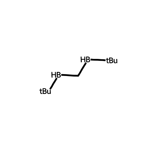 CC(C)(C)BCBC(C)(C)C